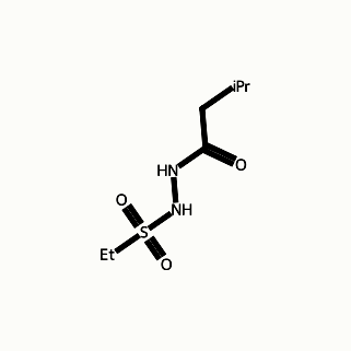 CCS(=O)(=O)NNC(=O)CC(C)C